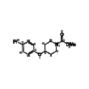 COC(=O)N1CCC(Oc2ccc(C(C)C)cc2)CC1